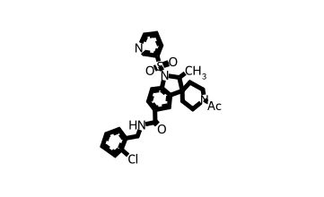 CC(=O)N1CCC2(CC1)c1cc(C(=O)NCc3ccccc3Cl)ccc1N(S(=O)(=O)c1cccnc1)C2C